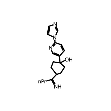 C[CH]CC(=N)C1CCC(O)(c2ccc(-n3ccnc3)nc2)CC1